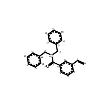 C=Cc1cccc(C(=O)N(Cc2ccccc2)Cc2ccccc2)c1